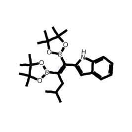 CC(C)C/C(B1OC(C)(C)C(C)(C)O1)=C(/B1OC(C)(C)C(C)(C)O1)c1cc2ccccc2[nH]1